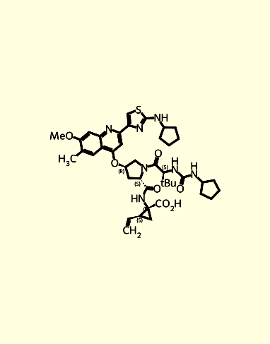 C=C[C@@H]1C[C@]1(NC(=O)[C@@H]1C[C@@H](Oc2cc(-c3csc(NC4CCCC4)n3)nc3cc(OC)c(C)cc23)CN1C(=O)[C@@H](NC(=O)NC1CCCC1)C(C)(C)C)C(=O)O